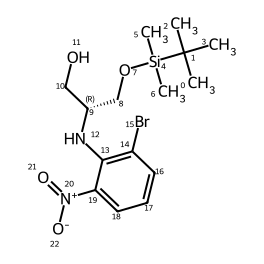 CC(C)(C)[Si](C)(C)OC[C@@H](CO)Nc1c(Br)cccc1[N+](=O)[O-]